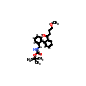 COCCCC(=O)c1ccccc1-c1ccccc1CNC(=O)OC(C)(C)C